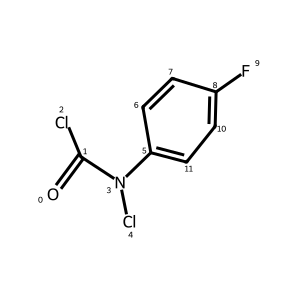 O=C(Cl)N(Cl)c1ccc(F)cc1